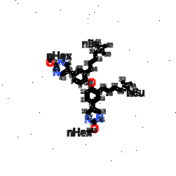 CCCCCCOc1ncc(-c2ccc(Oc3ccc(-c4cnc(OCCCCCC)nc4)cc3CCCC[Si](C)(C)CCCC)c(CCCC[Si](C)(C)CCCC)c2)cn1